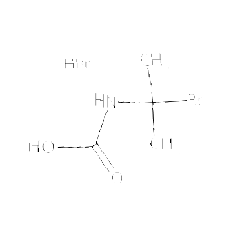 Br.CC(C)(Br)NC(=O)O